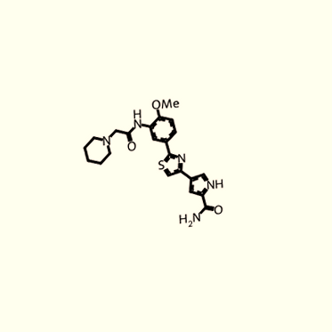 COc1ccc(-c2nc(-c3c[nH]c(C(N)=O)c3)cs2)cc1NC(=O)CN1CCCCC1